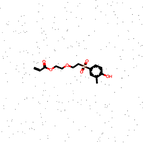 C=CC(=O)OCCOCCS(=O)(=O)c1ccc(O)c(C)c1